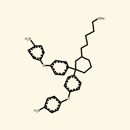 CCCCCCCCCCCCCCCC1CCCC(c2ccc(Oc3ccc(N)cc3)cc2)(c2ccc(Oc3ccc(N)cc3)cc2)C1